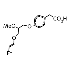 CCC=COCC(COc1ccc(CC(=O)O)cc1)OC